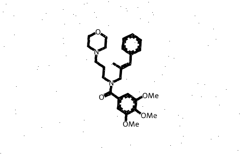 COc1cc(C(=O)N(CCCN2CCOCC2)CC(C)=Cc2ccccc2)cc(OC)c1OC